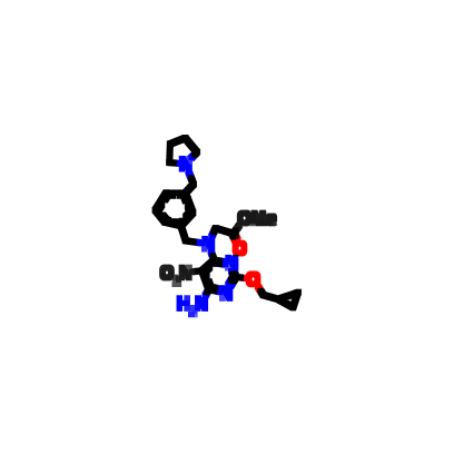 COC(=O)CN(Cc1cccc(CN2CCCC2)c1)c1nc(OCC2CC2)nc(N)c1[N+](=O)[O-]